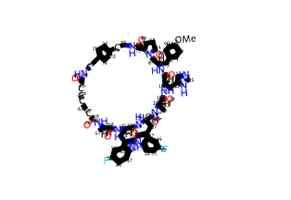 COc1ccc(C[C@@H]2NC(=O)[C@H](Cc3cnc[nH]3)NC(=O)[C@H](CC(=O)O)NC(=O)C(Cc3c[nH]c4ccc(F)cc34)NC(=O)[C@H](Cc3c[nH]c4ccc(F)cc34)NC(=O)[C@H](C)NC(=O)CCCCCC(=O)NCc3ccc(cc3)CCNC(=O)[C@]3(C)CCCN3C2=O)cc1